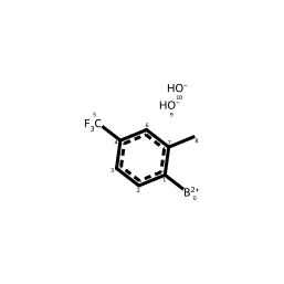 [B+2]c1ccc(C(F)(F)F)cc1C.[OH-].[OH-]